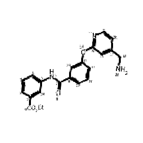 CCOC(=O)c1cccc(NC(=O)c2cccc(Oc3cc(CN)ccn3)c2)c1